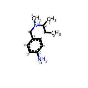 CCC(C)N(C)Cc1ccc(N)cc1